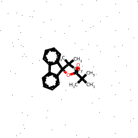 CC(C)(C)C(=O)OC1(C(C)(C)C)c2ccccc2-c2ccccc21